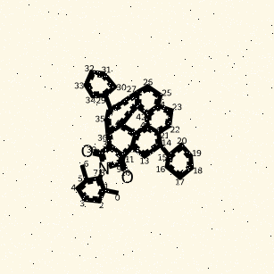 Cc1cccc(C)c1-n1c(=O)c2c3cc(-c4ccccc4)c4ccc5ccc6c(-c7ccccc7)cc(c2c1=O)c1c6c5c4c31